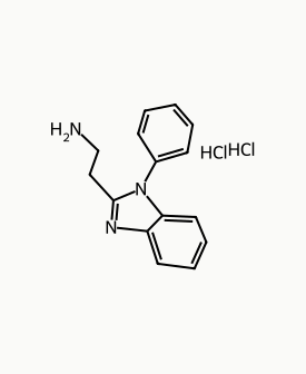 Cl.Cl.NCCc1nc2ccccc2n1-c1ccccc1